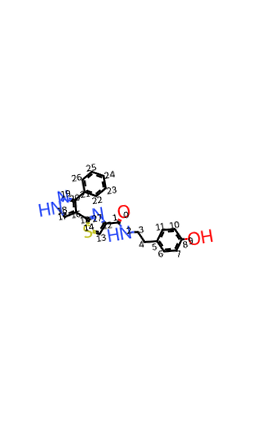 O=C(NCCc1ccc(O)cc1)c1csc(-c2c[nH]nc2-c2ccccc2)n1